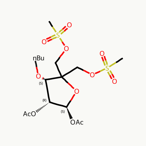 CCCCO[C@H]1[C@@H](OC(C)=O)[C@H](OC(C)=O)OC1(COS(C)(=O)=O)COS(C)(=O)=O